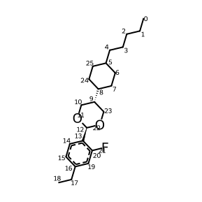 CCCCCC1CCC([C@H]2CO[C@H](c3ccc(CC)cc3F)OC2)CC1